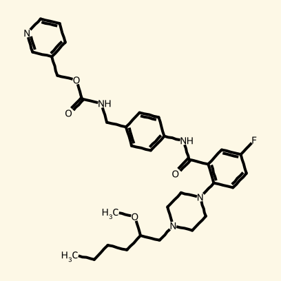 CCCCC(CN1CCN(c2ccc(F)cc2C(=O)Nc2ccc(CNC(=O)OCc3cccnc3)cc2)CC1)OC